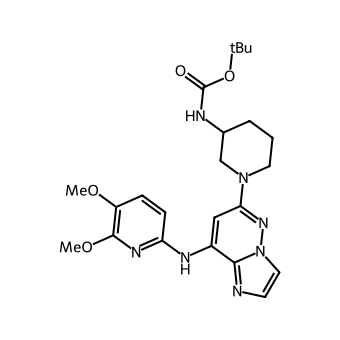 COc1ccc(Nc2cc(N3CCCC(NC(=O)OC(C)(C)C)C3)nn3ccnc23)nc1OC